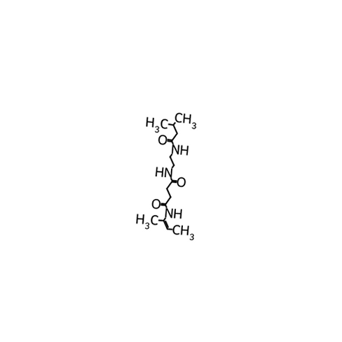 C/C=C(/C)NC(=O)CCC(=O)NCCNC(=O)CC(C)C